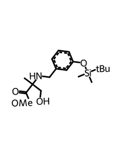 COC(=O)C(C)(CO)NCc1cccc(O[Si](C)(C)C(C)(C)C)c1